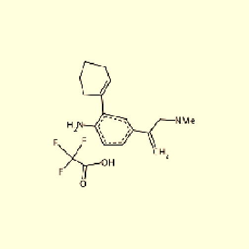 C=C(CNC)c1ccc(N)c(C2=CCCCC2)c1.O=C(O)C(F)(F)F